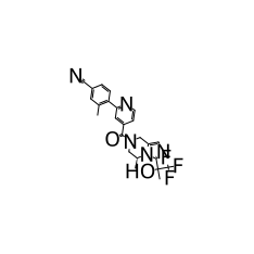 Cc1cc(C#N)ccc1-c1cc(C(=O)N2Cc3cnc(C(C)(O)C(F)(F)F)n3[C@@H](C)C2)ccn1